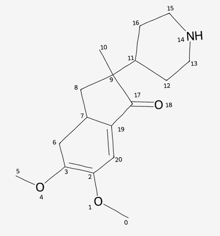 COC1=C(OC)CC2CC(C)(C3CCNCC3)C(=O)C2=C1